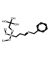 CCO[Si](CCC=NCc1ccccc1)(OCC)OCC(O)(O)O